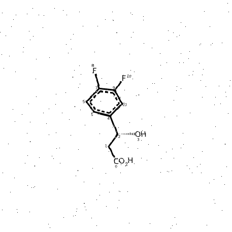 O=C(O)C[C@@H](O)c1ccc(F)c(F)c1